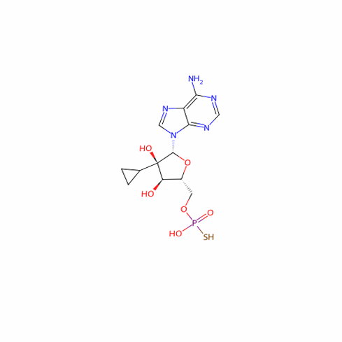 Nc1ncnc2c1ncn2[C@@H]1O[C@H](COP(=O)(O)S)[C@@H](O)[C@]1(O)C1CC1